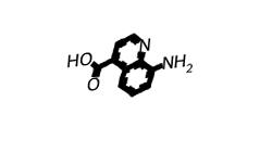 Nc1cccc2c(C(=O)O)ccnc12